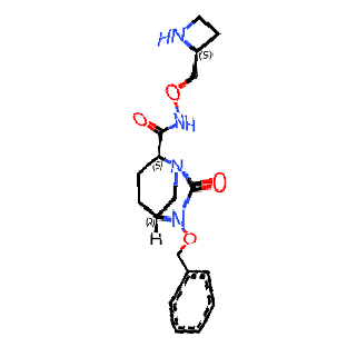 O=C(NOC[C@@H]1CCN1)[C@@H]1CC[C@@H]2CN1C(=O)N2OCc1ccccc1